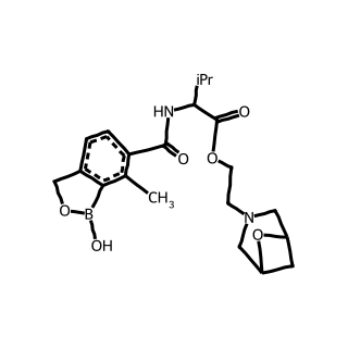 Cc1c(C(=O)NC(C(=O)OCCN2CC3CC(C2)O3)C(C)C)ccc2c1B(O)OC2